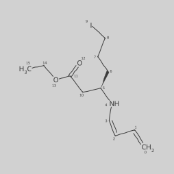 C=C/C=C\N[C@H](CCCI)CC(=O)OCC